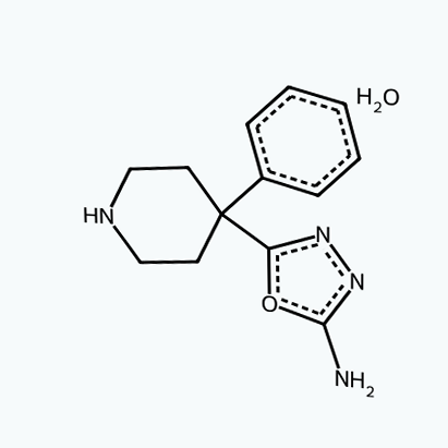 Nc1nnc(C2(c3ccccc3)CCNCC2)o1.O